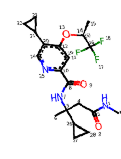 CNC(=O)CC(C)(NC(=O)c1cc(O[C@@H](C)C(F)(F)F)c(C2CC2)cn1)C1CC1